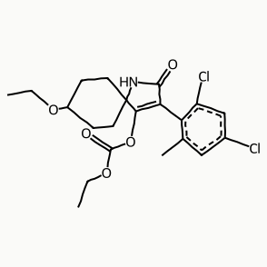 CCOC(=O)OC1=C(c2c(C)cc(Cl)cc2Cl)C(=O)NC12CCC(OCC)CC2